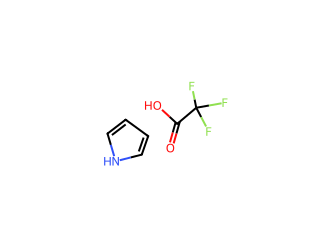 O=C(O)C(F)(F)F.c1cc[nH]c1